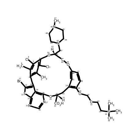 Cc1c(Cl)c2c(Cl)c(C)c1-c1c(Br)sc3ncnc(c13)O[C@@H](C(=O)O)Cc1cc(ccc1OCOCC[Si](C)(C)C)OC[C@@H](CN1CCN(C)CC1)O2